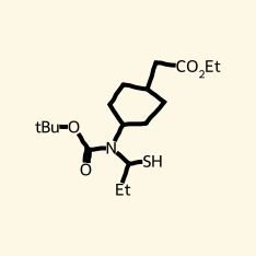 CCOC(=O)CC1CCC(N(C(=O)OC(C)(C)C)C(S)CC)CC1